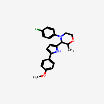 COc1ccc(-c2ccc(C3C(C)OCCN3c3ccc(F)cc3)[nH]2)cc1